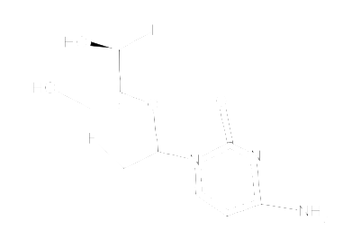 Nc1ccn(C(CF)O[C@H](CO)[C@@H](O)F)c(=O)n1